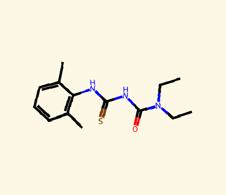 CCN(CC)C(=O)NC(=S)Nc1c(C)cccc1C